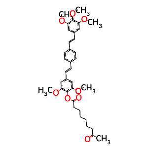 COc1cc(/C=C/c2ccc(/C=C/c3cc(OC)c(OC(=O)CCCCCCC(C)=O)c(OC)c3)cc2)cc(OC)c1OC